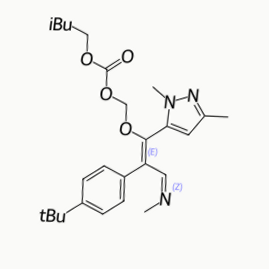 CCC(C)COC(=O)OCO/C(=C(/C=N\C)c1ccc(C(C)(C)C)cc1)c1cc(C)nn1C